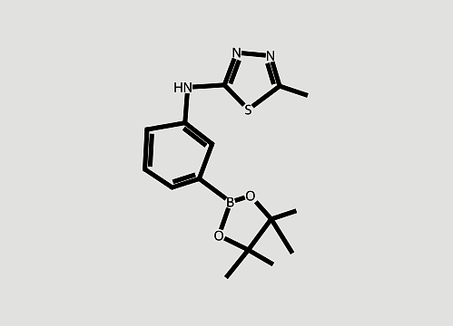 Cc1nnc(Nc2cccc(B3OC(C)(C)C(C)(C)O3)c2)s1